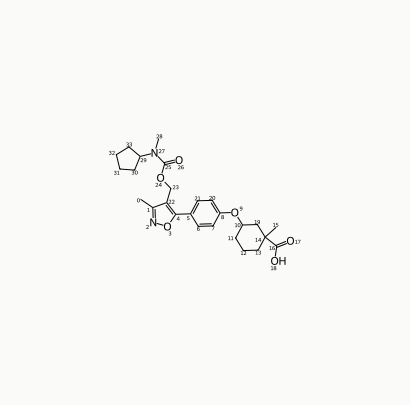 Cc1noc(-c2ccc(OC3CCCC(C)(C(=O)O)C3)cc2)c1COC(=O)N(C)C1CCCC1